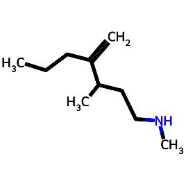 C=C(CCC)C(C)CCNC